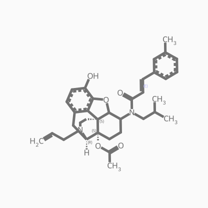 C=CCN1CC[C@]23c4c5ccc(O)c4OC2C(N(CC(C)C)C(=O)/C=C/c2cccc(C)c2)CC[C@@]3(OC(C)=O)[C@H]1C5